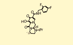 CC(C)N1CC[C@H](C)N2C(=O)c3c(O)c(=O)c(C(=O)NCc4ccc(F)cc4F)cn3C[C@@H]12